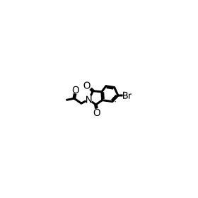 CC(=O)CN1C(=O)c2[c]c(Br)ccc2C1=O